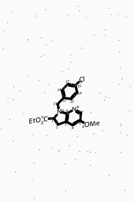 CCOC(=O)C1Cc2cc(OC)cnc2N1Cc1ccc(Cl)cc1